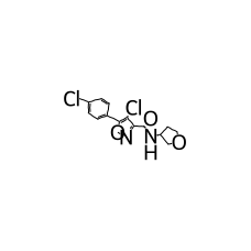 O=C(N[C@H]1CCOC1)c1noc(-c2ccc(Cl)cc2)c1Cl